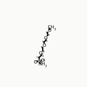 COCCOCCOCCOCCS(N)(=O)=O